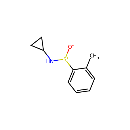 Cc1ccccc1[S+]([O-])NC1CC1